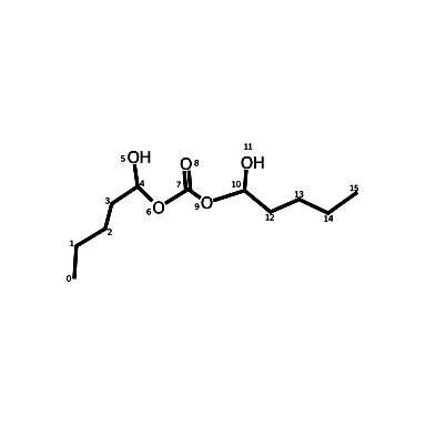 CCCCC(O)OC(=O)OC(O)CCCC